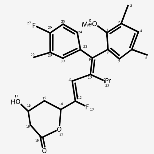 COc1c(C)cc(C)cc1/C(=C(/C=C(\F)C1CC(O)CC(=O)O1)C(C)C)c1ccc(F)c(C)c1